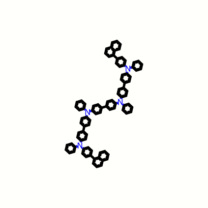 c1ccc(N(c2ccc(-c3ccc(N(c4ccccc4)c4ccc(-c5ccc(N(c6ccccc6)c6ccc(-c7cccc8ccccc78)cc6)cc5)cc4)cc3)cc2)c2ccc(-c3ccc(N(c4ccccc4)c4ccc(-c5cccc6ccccc56)cc4)cc3)cc2)cc1